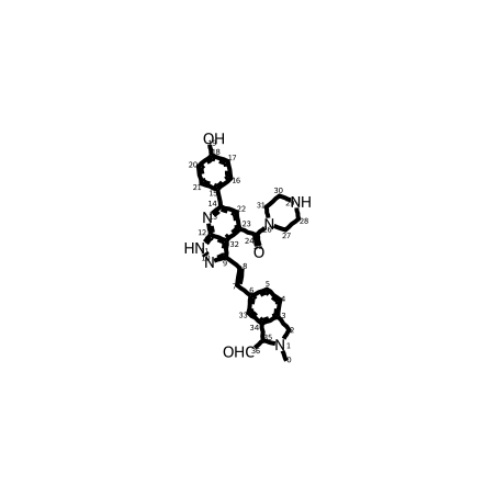 CN1Cc2ccc(C=Cc3n[nH]c4nc(-c5ccc(O)cc5)cc(C(=O)N5CCNCC5)c34)cc2C1C=O